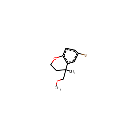 COCC1(C)CCOc2ccc(Br)cc21